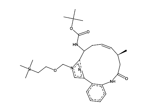 C[C@@H]1/C=C\CC(NC(=O)OC(C)(C)C)c2nc(cn2COCC[Si](C)(C)C)-c2ccccc2NC(=O)C1